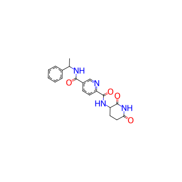 CC(NC(=O)c1ccc(C(=O)NC2CCC(=O)NC2=O)nc1)c1ccccc1